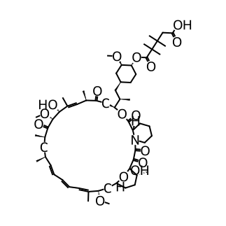 CO[C@H]1C[C@@H]2CC[C@@H](C)[C@@](O)(O2)C(=O)C(=O)N2CCCC[C@H]2C(=O)O[C@H]([C@H](C)C[C@@H]2CC[C@@H](OC(=O)C(C)(C)C(C)(C)CC(=O)O)[C@H](OC)C2)CC(=O)[C@H](C)/C=C(\C)[C@@H](O)[C@@H](OC)C(=O)[C@H](C)C[C@H](C)/C=C/C=C/C=C/1C